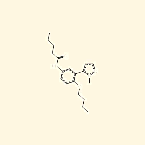 CCCCOc1ccc(NC(=O)CCCC)cc1-c1ccnn1C